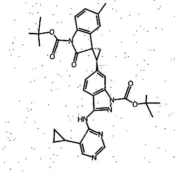 Cc1ccc2c(c1)[C@]1(C[C@H]1c1ccc3c(Nc4ncncc4C4CC4)nn(C(=O)OC(C)(C)C)c3c1)C(=O)N2C(=O)OC(C)(C)C